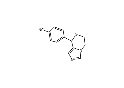 N#Cc1ccc(C2SCCn3cncc32)cc1